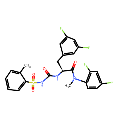 Cc1ccccc1S(=O)(=O)NC(=O)N[C@@H](Cc1cc(F)cc(F)c1)C(=O)N(C)c1ccc(F)cc1F